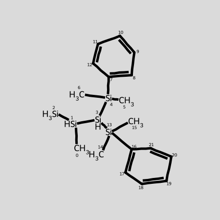 C[SiH]([SiH3])[SiH]([Si](C)(C)c1ccccc1)[Si](C)(C)c1ccccc1